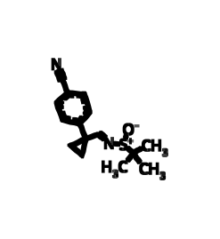 CC(C)(C)[S+]([O-])N=CC1(c2ccc(C#N)cc2)CC1